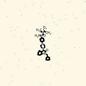 C=CN(C(=O)N(N)c1ccc(N2CCN(C(C(=O)NCc3ccccc3)c3ccccc3)CC2)cc1)C(C)C